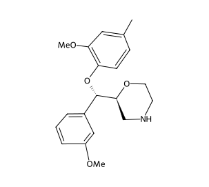 COc1cccc([C@H](Oc2ccc(C)cc2OC)[C@@H]2CNCCO2)c1